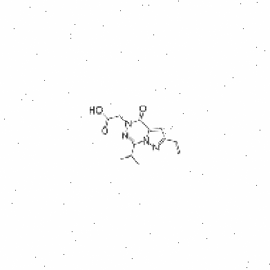 C=Cc1cc2c(=O)n(CC(=O)O)nc(C(C)C)n2n1